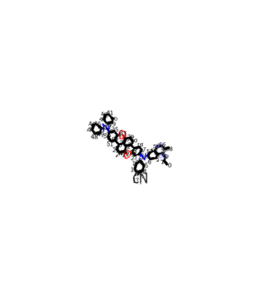 C=C/C=C\c1ccc(N(c2ccc(C#N)cc2)c2ccc3c(c2)Oc2ccc4c5c(ccc-3c25)Oc2cc(N(c3ccccc3)c3ccccc3)ccc2-4)cc1/C=C\C=C